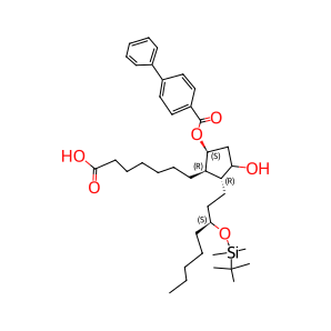 CCCCC[C@@H](CC[C@H]1C(O)C[C@H](OC(=O)c2ccc(-c3ccccc3)cc2)[C@@H]1CCCCCCC(=O)O)O[Si](C)(C)C(C)(C)C